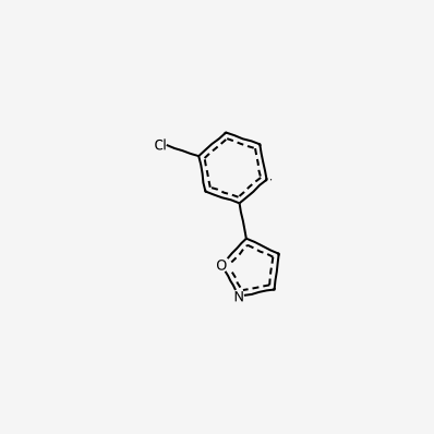 Clc1cc[c]c(-c2ccno2)c1